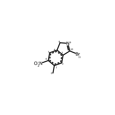 Cc1cc2c(cc1[N+](=O)[O-])CN=C2Br